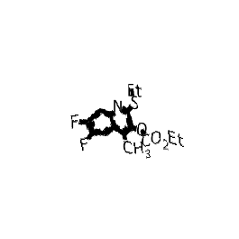 CCOC(=O)Oc1c(SCC)nc2cc(F)c(F)cc2c1C